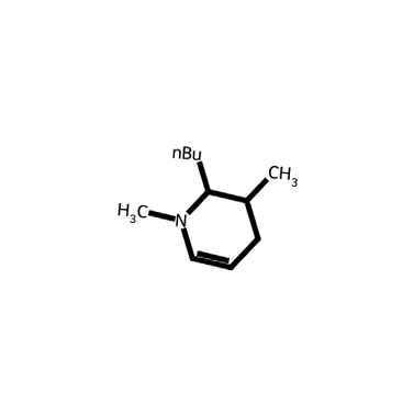 CCCCC1C(C)CC=CN1C